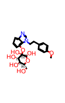 COc1ccc(CCn2cnc3cccc(O[C@]4(O)[C@@H](O)O[C@H](CO)[C@@H](O)[C@@H]4O)c32)cc1